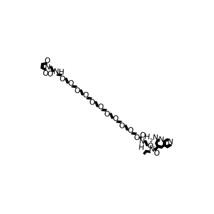 CCCN(OCCNC(=O)OCCOCCOCCOCCOCCOCCOCCOCCOCCOCCOCCNC(=O)CN1C(=O)C=CC1=O)C(=O)C1=Cc2ccncc2N=C(N)C1